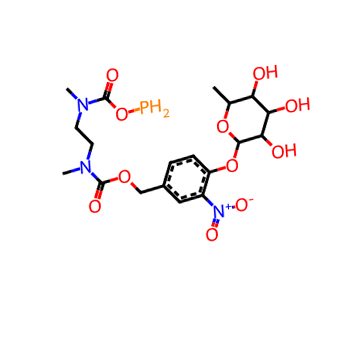 CC1OC(Oc2ccc(COC(=O)N(C)CCN(C)C(=O)OP)cc2[N+](=O)[O-])C(O)C(O)C1O